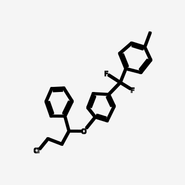 Cc1ccc(C(F)(F)c2ccc(OC(CCCl)c3ccccc3)cc2)cc1